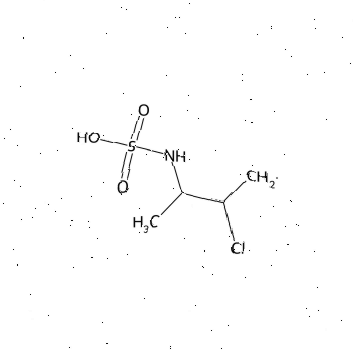 [CH2]C(Cl)C(C)NS(=O)(=O)O